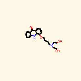 O=c1c2ccccc2[nH]c2c(OCCCCN(CCO)CCO)cccc12